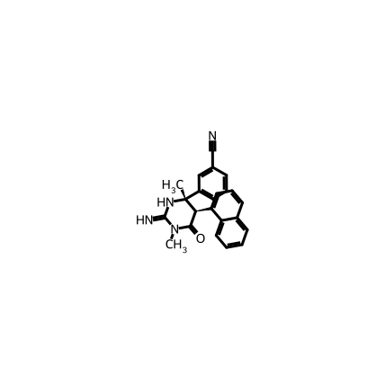 CN1C(=N)N[C@](C)(c2cccc(C#N)c2)[C@@H](c2cccc3ccccc23)C1=O